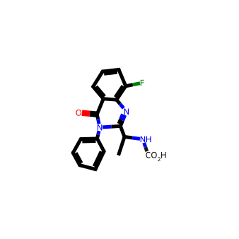 CC(NC(=O)O)c1nc2c(F)cccc2c(=O)n1-c1ccccc1